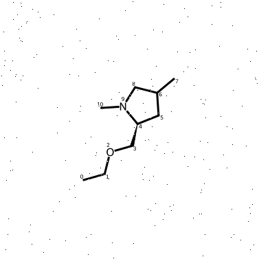 CCOC[C@@H]1CC(C)CN1C